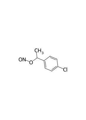 CC(ON=O)c1ccc(Cl)cc1